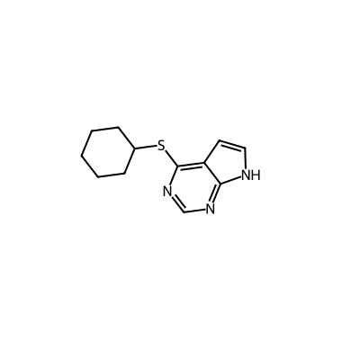 c1nc(SC2CCCCC2)c2cc[nH]c2n1